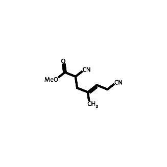 COC(=O)C(C#N)CC(C)=CCC#N